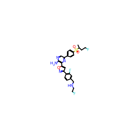 CC(CCF)S(=O)(=O)c1ccc(-c2cnc(N)c(-c3cc(-c4ccc(CNCCF)cc4F)no3)n2)cc1